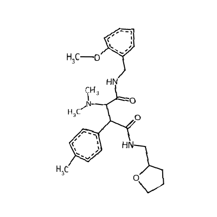 COc1ccccc1CNC(=O)C(C(C(=O)NCC1CCCO1)c1ccc(C)cc1)N(C)C